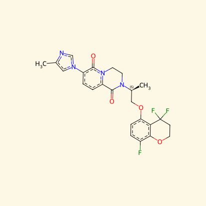 Cc1cn(-c2ccc3n(c2=O)CCN([C@@H](C)COc2ccc(F)c4c2C(F)(F)CCO4)C3=O)cn1